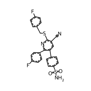 N#Cc1cc(-c2ccc(S(N)(=O)=O)cc2)c(-c2ccc(F)cc2)nc1SCc1ccc(F)cc1